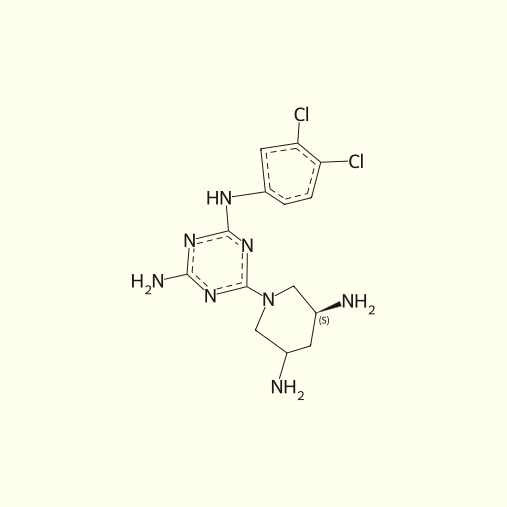 Nc1nc(Nc2ccc(Cl)c(Cl)c2)nc(N2CC(N)C[C@H](N)C2)n1